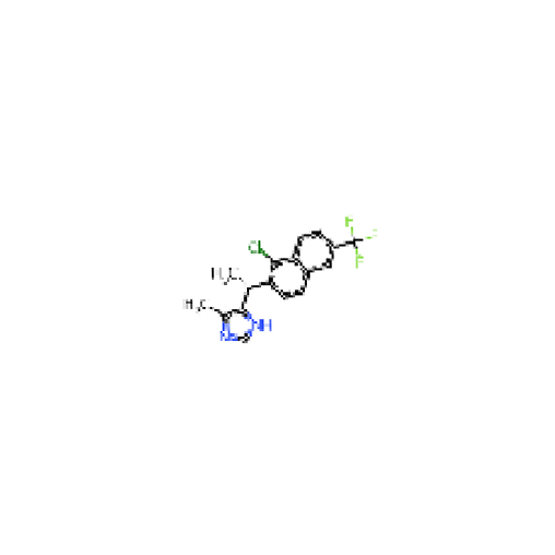 Cc1nc[nH]c1[C@H](C)c1ccc2cc(C(F)(F)F)ccc2c1Cl